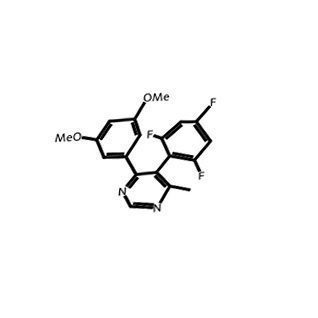 COc1cc(OC)cc(-c2ncnc(C)c2-c2c(F)cc(F)cc2F)c1